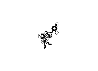 C=CCN(CC=C)S(=O)(=O)c1cnccc1NS(=O)(=O)/C=C/c1ccc(Cl)cc1OC